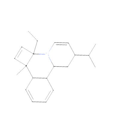 CCC12C=CC1(C)C1C=CC=CC1C1CC(C(C)C)C=CN12